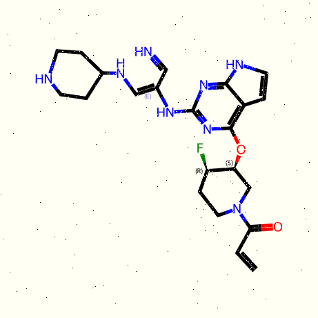 C=CC(=O)N1CC[C@@H](F)[C@@H](Oc2nc(N/C(C=N)=C/NC3CCNCC3)nc3[nH]ccc23)C1